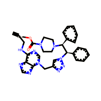 C#CCNc1ncn(Cc2cn([C@H](c3ccccc3)[C@H](c3ccccc3)N3CCN(C(=O)OC(C)(C)C)CC3)nn2)c2ncnc1-2